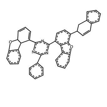 C1=CC2Oc3ccccc3C2C(c2nc(-c3ccccc3)nc(-c3ccc(C4C=Cc5ccccc5C4)c4oc5ccccc5c34)n2)=C1